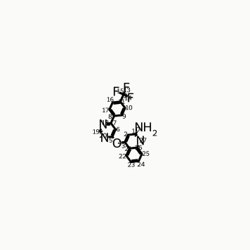 Nc1cc(Oc2cc(-c3ccc(C(F)(F)F)cc3)ncn2)c2ccccc2n1